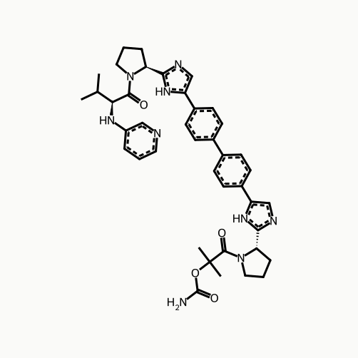 CC(C)[C@H](Nc1cccnc1)C(=O)N1CCC[C@H]1c1ncc(-c2ccc(-c3ccc(-c4cnc([C@@H]5CCCN5C(=O)C(C)(C)OC(N)=O)[nH]4)cc3)cc2)[nH]1